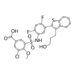 COc1c(Cl)cc(C(=O)O)cc1S(=O)(=O)Nc1cc(-c2sc3ccccc3c2CCCO)c(F)cc1F